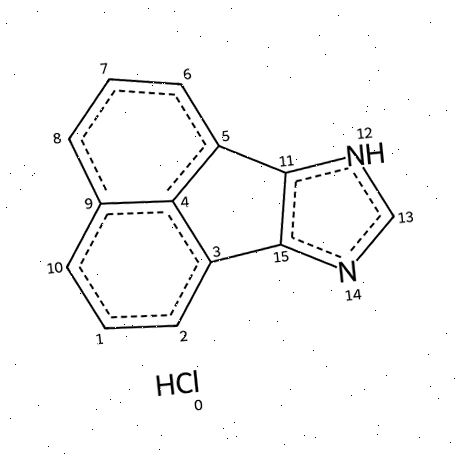 Cl.c1cc2c3c(cccc3c1)-c1[nH]cnc1-2